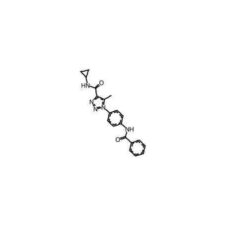 Cc1c(C(=O)NC2CC2)nnn1-c1ccc(NC(=O)c2ccccc2)cc1